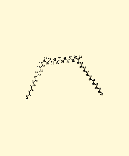 CCCCCCCCCCCCCCCCC(C)CCCCCCCCCCCCC(C)CCCCCCCCCCCCCCCC